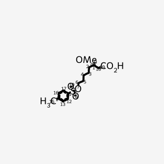 CO[C@H](CCCCCOS(=O)(=O)c1ccc(C)cc1)CC(=O)O